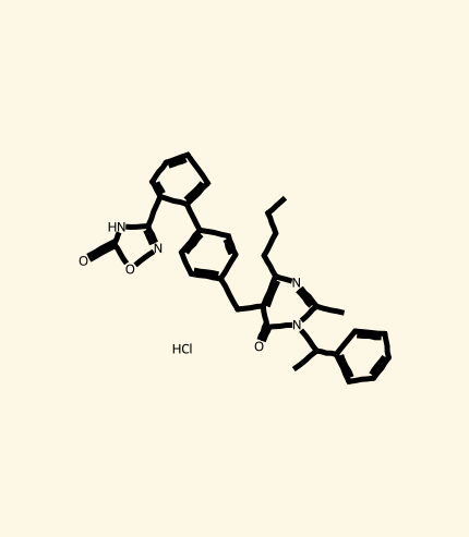 CCCCc1nc(C)n(C(C)c2ccccc2)c(=O)c1Cc1ccc(-c2ccccc2-c2noc(=O)[nH]2)cc1.Cl